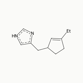 CCC1=CC(Cc2c[nH]cn2)CC1